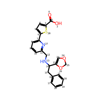 O=C(O)c1ccc(-c2cccc(CNC(Cc3ccccc3)C3=COCO3)n2)s1